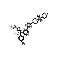 CC(C)c1ccc([C@](O)(c2cncc(-c3noc(C4CCN(S(=O)(=O)C5CCOCC5)CC4)n3)c2)C2(C)CN(C)C2)cc1